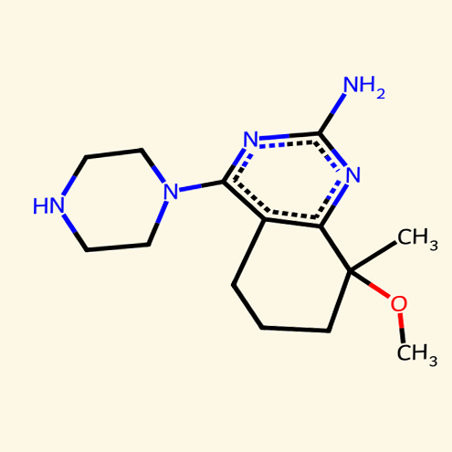 COC1(C)CCCc2c(N3CCNCC3)nc(N)nc21